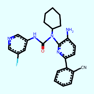 N#Cc1ccccc1-c1ccc(N)c(N(C(=O)Nc2cncc(F)c2)C2CCCCC2)n1